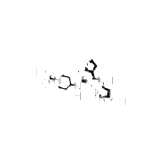 Cc1cc(Nc2nc(NC3CCN(C(=O)O)CC3)nc3sccc23)n[nH]1